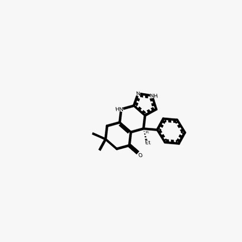 CC[C@]1(c2ccccc2)C2=C(CC(C)(C)CC2=O)Nc2n[nH]cc21